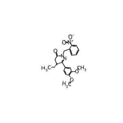 CCC1CC(=O)N(Cc2ccccc2[N+](=O)[O-])N=C1c1ccc(OC)c(OC)c1